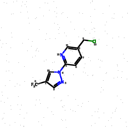 FC(F)(F)c1cnn(-c2ccc(CCl)cn2)c1